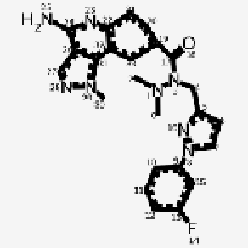 CN(C)N(Cc1ccn(-c2cccc(F)c2)n1)C(=O)c1ccc2nc(N)c3cnn(C)c3c2c1